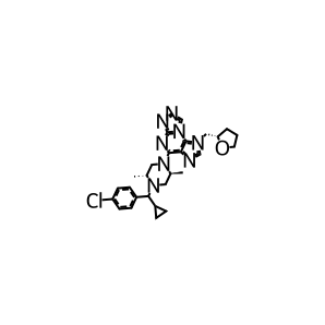 C[C@@H]1CN(c2nc3nncn3c3c2ncn3C[C@@H]2CCCO2)[C@@H](C)CN1C(c1ccc(Cl)cc1)C1CC1